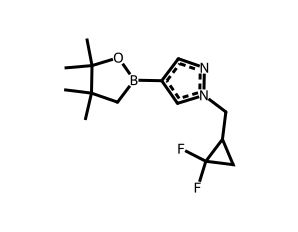 CC1(C)CB(c2cnn(CC3CC3(F)F)c2)OC1(C)C